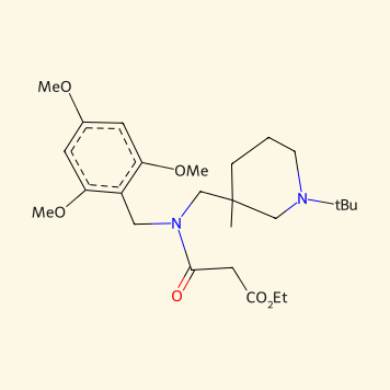 CCOC(=O)CC(=O)N(Cc1c(OC)cc(OC)cc1OC)CC1(C)CCCN(C(C)(C)C)C1